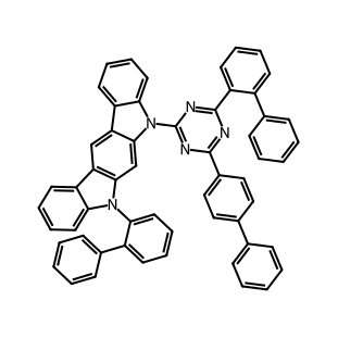 c1ccc(-c2ccc(-c3nc(-c4ccccc4-c4ccccc4)nc(-n4c5ccccc5c5cc6c7ccccc7n(-c7ccccc7-c7ccccc7)c6cc54)n3)cc2)cc1